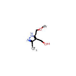 CC(C)OCc1[nH]nc(C(F)(F)F)c1CO